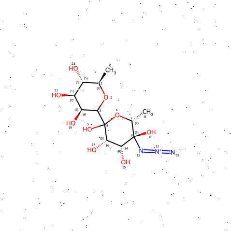 C[C@H]1OC(C2(O)O[C@H](C)[C@](O)(N=[N+]=[N-])[C@H](O)[C@@H]2O)[C@@H](O)[C@@H](O)[C@@H]1O